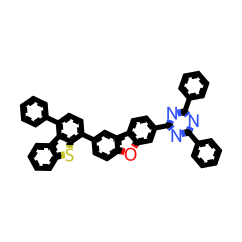 c1ccc(-c2nc(-c3ccccc3)nc(-c3ccc4c(c3)oc3ccc(-c5ccc(-c6ccccc6)c6c5sc5ccccc56)cc34)n2)cc1